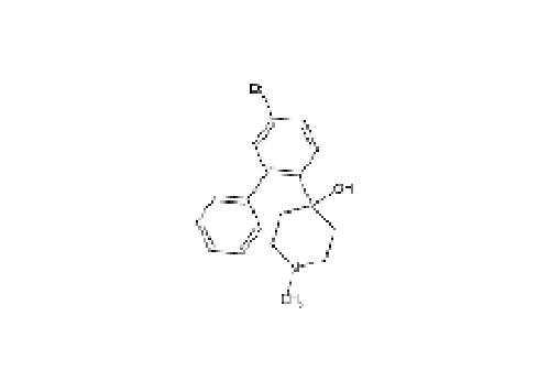 CCc1ccc(C2(O)CCN(C)CC2)c(-c2ccccc2)c1